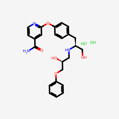 Cl.Cl.NC(=O)c1ccnc(Oc2ccc(C[C@@H](CO)NC[C@H](O)COc3ccccc3)cc2)c1